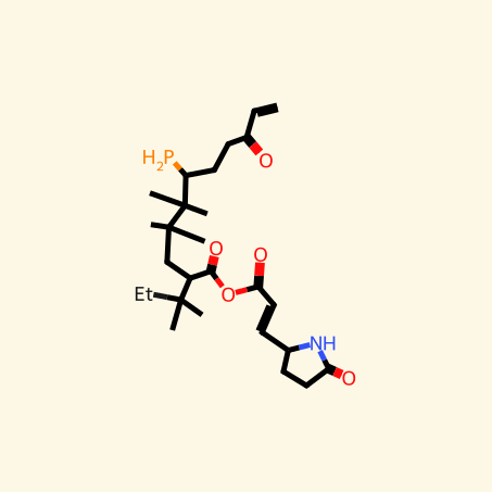 C=CC(=O)CCC(P)C(C)(C)C(C)(C)CC(C(=O)OC(=O)/C=C/C1CCC(=O)N1)C(C)(C)CC